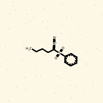 CCCCC(=[N+]=[N-])S(=O)(=O)c1ccccc1